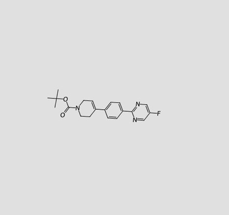 CC(C)(C)OC(=O)N1CC=C(c2ccc(-c3ncc(F)cn3)cc2)CC1